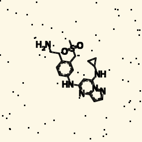 CS(=O)(=O)Cc1cc(Nc2cc(NC3CC3)n3nccc3n2)ccc1CCN